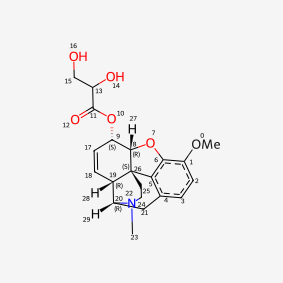 COc1ccc2c3c1O[C@H]1[C@@H](OC(=O)C(O)CO)C=C[C@H]4[C@@H](C2)N(C)CC[C@@]341